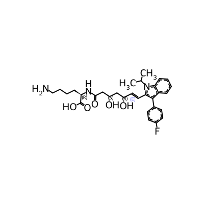 CC(C)n1c(/C=C/[C@H](O)C[C@H](O)CC(=O)N[C@H](CCCCN)C(=O)O)c(-c2ccc(F)cc2)c2ccccc21